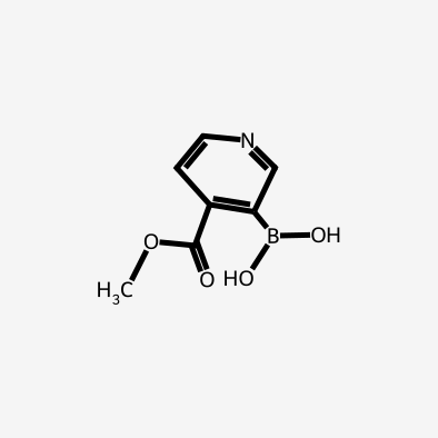 COC(=O)c1ccncc1B(O)O